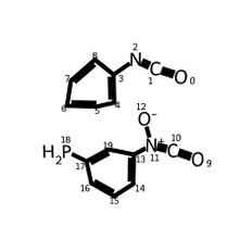 O=C=Nc1ccccc1.O=C=[N+]([O-])c1cccc(P)c1